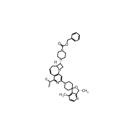 Cc1ccnc2c1C1(CCN(c3cc4c(c(C(F)F)n3)C=CC[C@H]3[C@H](N5CCN(C(=O)OCc6ccccc6)CC5)CN43)CC1)O[C@@H]2C